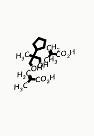 C=C(C)C(=O)O.C=C(C)C(=O)O.CC(CO)(CO)C1CCCC1